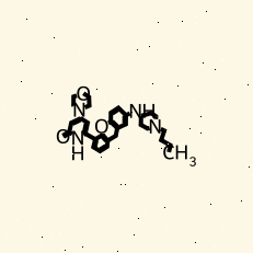 CCCCN1CCC(Nc2ccc3c(c2)Cc2cccc(-c4cc(N5CCOCC5)cc(=O)[nH]4)c2O3)CC1